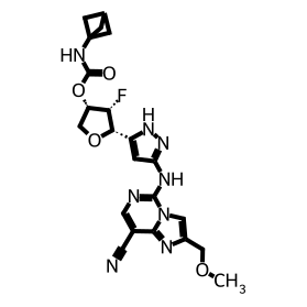 COCc1cn2c(Nc3cc([C@@H]4OC[C@H](OC(=O)NC56CC(C5)C6)[C@@H]4F)[nH]n3)ncc(C#N)c2n1